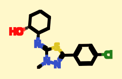 Cn1nc(-c2ccc(Cl)cc2)sc1=N[C@@H]1CCCC[C@H]1O